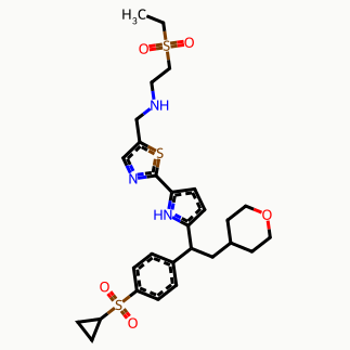 CCS(=O)(=O)CCNCc1cnc(-c2ccc(C(CC3CCOCC3)c3ccc(S(=O)(=O)C4CC4)cc3)[nH]2)s1